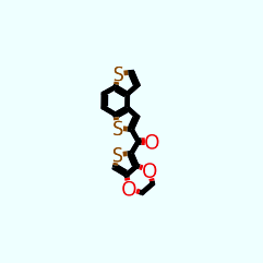 O=C(c1cc2c(ccc3sccc32)s1)c1scc2c1OCCO2